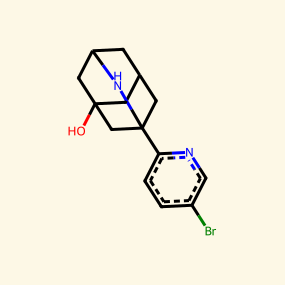 OC12CC3CC(C1)NC(c1ccc(Br)cn1)(C3)C2